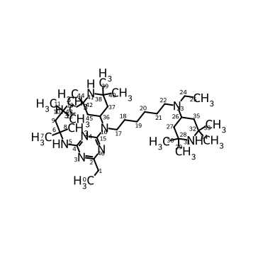 CCc1nc(NC(C)(C)CC(C)(C)C)nc(N(CCCCCCN(CC)C2CC(C)(C)NC(C)(C)C2)C2CC(C)(C)NC(C)(C)C2)n1